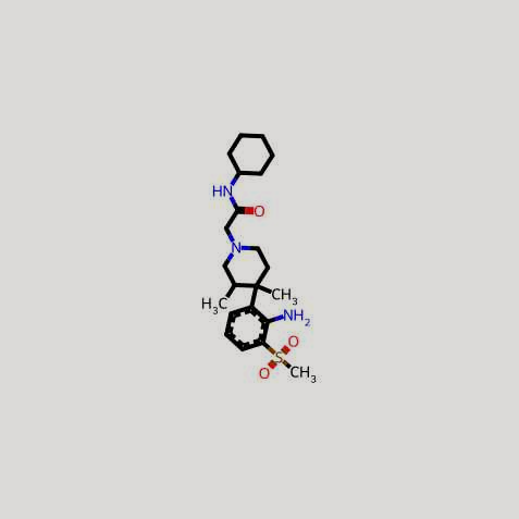 CC1CN(CC(=O)NC2CCCCC2)CCC1(C)c1cccc(S(C)(=O)=O)c1N